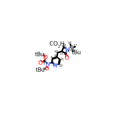 CC(C)(C)OC(=O)N(OC(C)(C)C)c1cc(CC2C(=O)N([Si](C)(C)C(C)(C)C)C2C(=O)O)ccn1